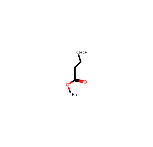 CC(C)(C)OC(=O)CC[C]=O